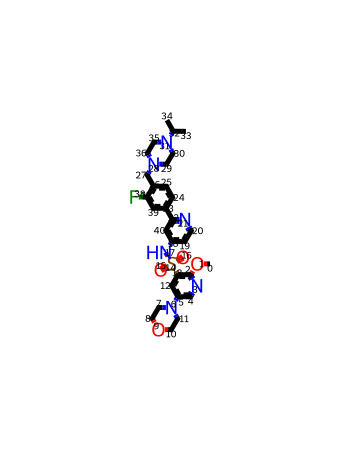 COc1ncc(N2CCOCC2)cc1S(=O)(=O)Nc1ccnc(-c2ccc(CN3CCN(C(C)C)CC3)c(F)c2)c1